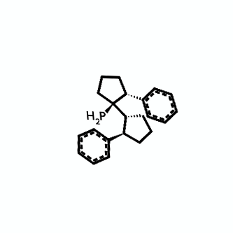 P[C@@]1([C@@H]2CCC[C@H]2c2ccccc2)CCC[C@@H]1c1ccccc1